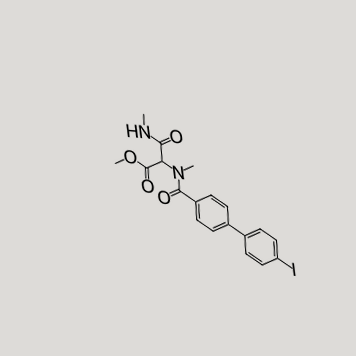 CNC(=O)C(C(=O)OC)N(C)C(=O)c1ccc(-c2ccc(I)cc2)cc1